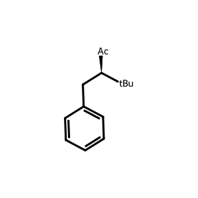 CC(=O)[C@H](Cc1ccccc1)C(C)(C)C